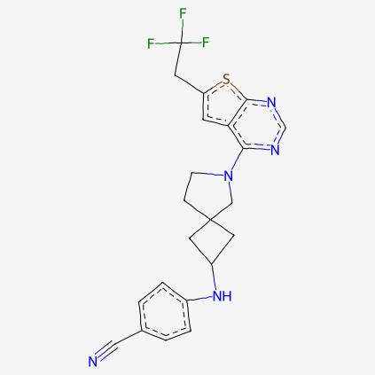 N#Cc1ccc(NC2CC3(CCN(c4ncnc5sc(CC(F)(F)F)cc45)C3)C2)cc1